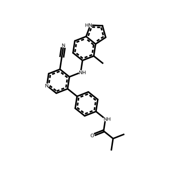 Cc1c(Nc2c(C#N)cncc2-c2ccc(NC(=O)C(C)C)cc2)ccc2[nH]ccc12